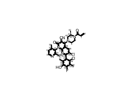 C=CC(=O)N1CCN(c2c(C#N)c(=O)n(-c3c(C)ccnc3C(C)C)c3nc(-c4c(C)c(O)c(F)c(F)c4Cl)c(Cl)cc23)C[C@H]1C